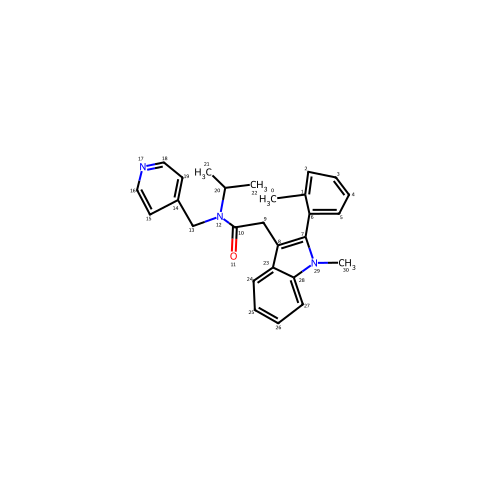 Cc1ccccc1-c1c(CC(=O)N(Cc2ccncc2)C(C)C)c2ccccc2n1C